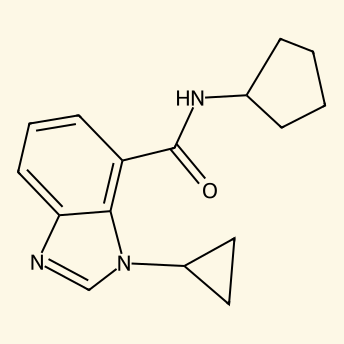 O=C(NC1CCCC1)c1cccc2ncn(C3CC3)c12